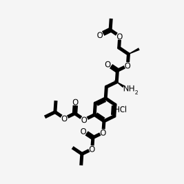 CC(=O)OC[C@@H](C)OC(=O)[C@@H](N)Cc1ccc(OC(=O)OC(C)C)c(OC(=O)OC(C)C)c1.Cl